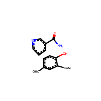 COc1cc(C=O)ccc1O.NC(=O)c1cccnc1